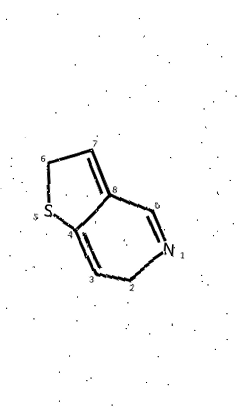 C1=NCC=C2SCC=C12